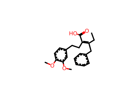 CCC(Cc1ccccc1)=C(CCc1ccc(OC)c(OC)c1)C(=O)O